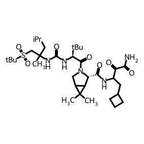 CC(C)CC(C)(CS(=O)(=O)C(C)(C)C)NC(=O)N[C@H](C(=O)N1CC2C([C@H]1C(=O)NC(CC1CCC1)C(=O)C(N)=O)C2(C)C)C(C)(C)C